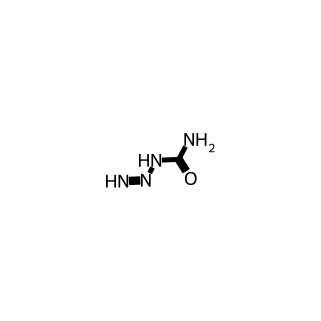 N=NNC(N)=O